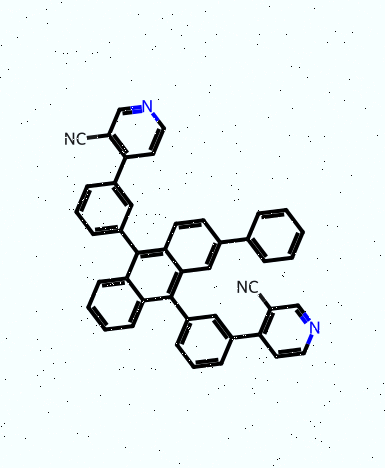 N#Cc1cnccc1-c1cccc(-c2c3ccccc3c(-c3cccc(-c4ccncc4C#N)c3)c3cc(-c4ccccc4)ccc23)c1